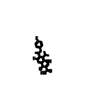 CC(C)c1c(N(C)Cc2ccc(F)cc2)c(F)cc2c(=O)c(C(=O)O)c[nH]c12